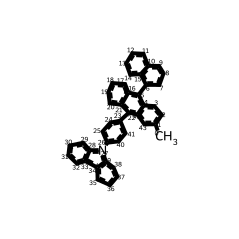 Cc1ccc2c(-c3cccc4ccccc34)c3ccccc3c(-c3ccc(-n4c5ccccc5c5ccccc54)cc3)c2c1